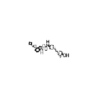 C[C@H]1CN(CCN2CCC(NC(=O)Oc3cc4c(OCC5CCC5)cccc4[nH]3)CC2)CC[C@@H]1O